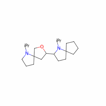 CC(C)N1CCCC12COC(C1CCC3(CCCC3)N1C(C)C)C2